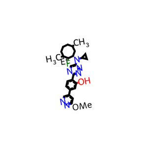 CC[C@]1(C)CCCC(C)C[C@H](N(c2cnc(-c3ccc(-c4cnnc(OC)c4)cc3O)nn2)C2CC2)[C@@H]1F